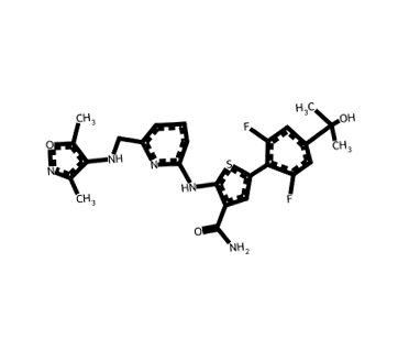 Cc1noc(C)c1NCc1cccc(Nc2sc(-c3c(F)cc(C(C)(C)O)cc3F)cc2C(N)=O)n1